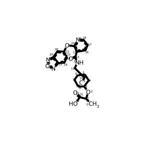 CC(OC1CC2CCC1CC2CNC(=O)c1cccnc1Oc1ccc2nonc2c1)C(=O)O